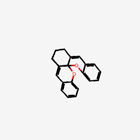 C1=C2CCCC3=Cc4ccccc4OC23Oc2ccccc21